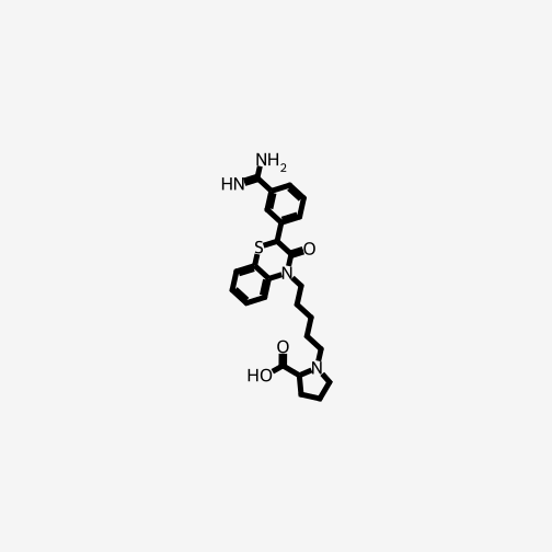 N=C(N)c1cccc(C2Sc3ccccc3N(CCCCCN3CCCC3C(=O)O)C2=O)c1